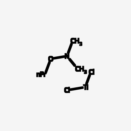 CCCON(C)C.[Cl][Ti][Cl]